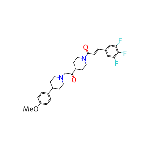 COc1ccc(C2CCN(CC(=O)C3CCN(C(=O)C=Cc4cc(F)c(F)c(F)c4)CC3)CC2)cc1